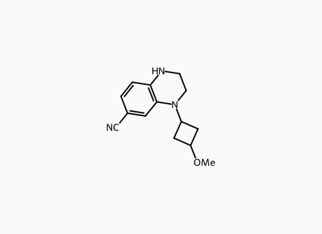 COC1CC(N2CCNc3ccc(C#N)cc32)C1